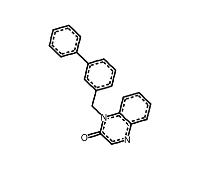 O=c1cnc2ccccc2n1Cc1cccc(-c2ccccc2)c1